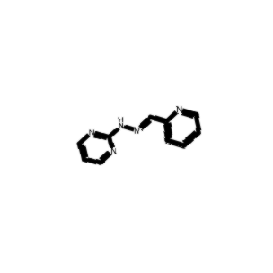 C(=NNc1ncccn1)c1ccccn1